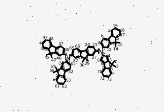 CC1(C)C2=CC(N(c3ccc4c(c3)C(C)(C)c3ccccc3-4)c3ccc4c(c3)C(C)(C)c3cc(N(c5ccc6c(c5)C(C)(C)c5ccccc5-6)c5ccc6c(c5)C(C)(C)c5ccccc5-6)ccc3-4)=C=C2c2ccccc21